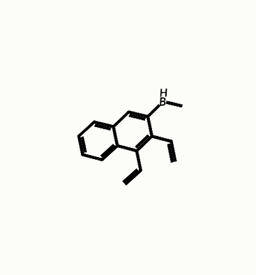 C=Cc1c(BC)cc2ccccc2c1C=C